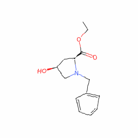 CCOC(=O)[C@@H]1C[C@H](O)CN1Cc1ccccc1